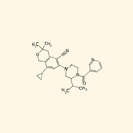 CC(C)C1CN(c2cc(C3CC3)c3c(c2C#N)CC(C)(C)OC3)CCN1C(=O)c1cccnc1